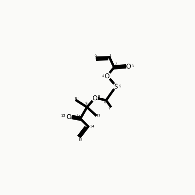 C=CC(=O)OSC(C)OC(C)(C)C(=O)C=C